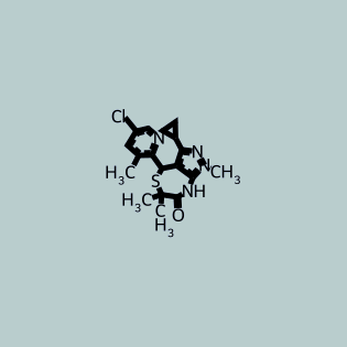 Cc1cc(Cl)cnc1C1SC(C)(C)C(=O)Nc2c1c(C1CC1)nn2C